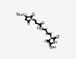 CSC1CC(=O)N(CCC(=O)NCCCN2C(=O)NC(SC)C2=O)C1=O